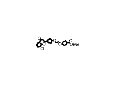 COC(=O)C1CCC(OCCOc2ccc(-c3cc(=O)c4cccc(Cl)c4o3)cc2)CC1